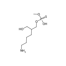 COP(O)(=S)OCC(CO)CCCCN